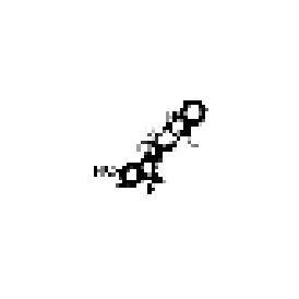 Cc1nc2c(c(=O)n1Cc1cc(-c3cc(O)c(F)cc3C(F)(F)F)on1)CCCC2